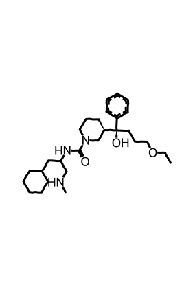 CCOCCC[C@@](O)(c1ccccc1)[C@@H]1CCCN(C(=O)NC(CNC)CC2CCCCC2)C1